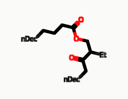 CCCCCCCCCCCCCC(=O)OCC(CC)C(=O)CCCCCCCCCCC